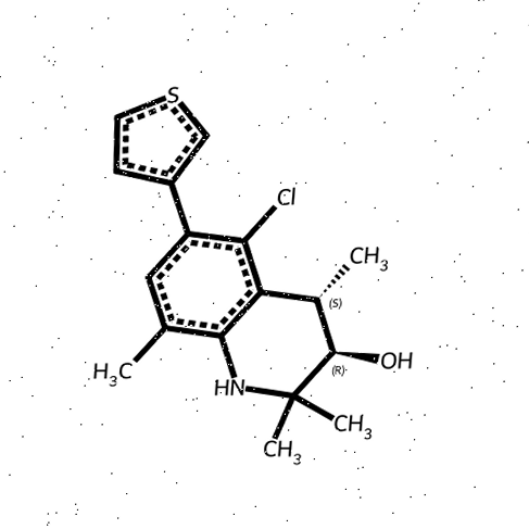 Cc1cc(-c2ccsc2)c(Cl)c2c1NC(C)(C)[C@H](O)[C@H]2C